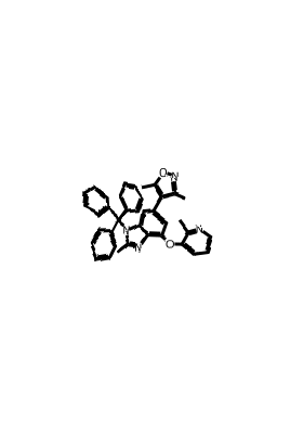 Cc1ncccc1Oc1cc(-c2c(C)noc2C)cc2c1nc(C)n2C(c1ccccc1)(c1ccccc1)c1ccccc1